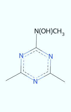 Cc1nc(C)nc(N(C)O)n1